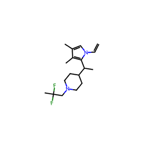 C=Cn1cc(C)c(C)c1C(C)C1CCN(CC(C)(F)F)CC1